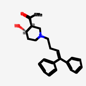 COC(=O)[C@H]1CN(CCC=C(c2ccccc2)c2ccccc2)CC[C@@H]1O